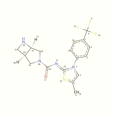 Cc1cn(-c2ccc(C(F)(F)F)cc2)c(=NC(=O)N2C[C@H]3CN[C@H]3C2)s1